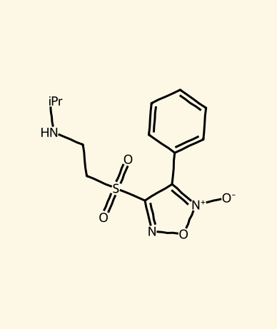 CC(C)NCCS(=O)(=O)c1no[n+]([O-])c1-c1ccccc1